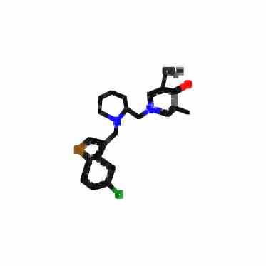 Cc1cn(CC2CCCCN2Cc2csc3ccc(Cl)cc23)cc(C(=O)O)c1=O